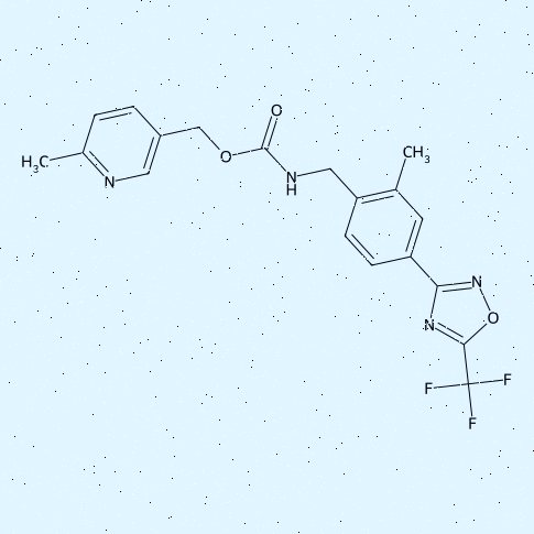 Cc1ccc(COC(=O)NCc2ccc(-c3noc(C(F)(F)F)n3)cc2C)cn1